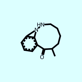 CC1CCCCNN2c3cccc(c32)C1=O